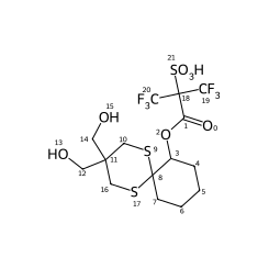 O=C(OC1CCCCC12SCC(CO)(CO)CS2)C(C(F)(F)F)(C(F)(F)F)S(=O)(=O)O